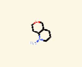 NN1CCCC2COCCC21